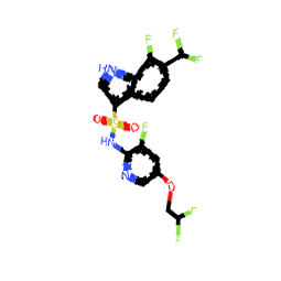 O=S(=O)(Nc1ncc(OCC(F)F)cc1F)c1c[nH]c2c(F)c(C(F)F)ccc12